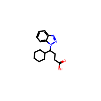 O=C(O)CCC(C1CCCCC1)n1nnc2ccccc21